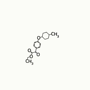 CCOC(=O)C(=O)c1ccc(OC2CCC(C)CC2)cc1